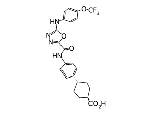 O=C(Nc1ccc([C@H]2CC[C@H](C(=O)O)CC2)cc1)c1nnc(Nc2ccc(OC(F)(F)F)cc2)o1